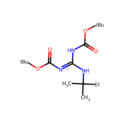 CCC(C)(C)N/C(=N/C(=O)OC(C)(C)C)NC(=O)OC(C)(C)C